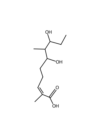 CCC(O)C(C)C(O)CCC=C(C)C(=O)O